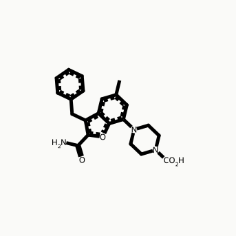 Cc1cc(N2CCN(C(=O)O)CC2)c2oc(C(N)=O)c(Cc3ccccc3)c2c1